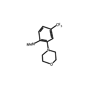 CNc1ccc(C(F)(F)F)cc1N1CCOCC1